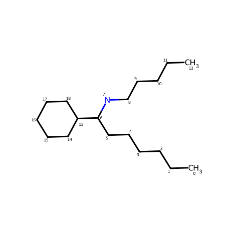 CCCCCCC([N]CCCCC)C1CCCCC1